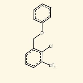 FC(F)(F)c1cccc(COc2c[c]ccc2)c1Cl